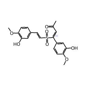 COc1ccc(C=CS(=O)(=O)/C(=C\C(C)=O)c2ccc(OC)c(O)c2)cc1O